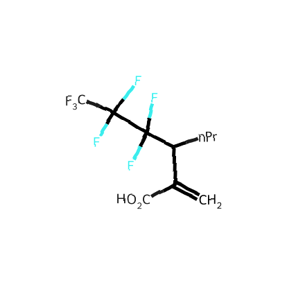 C=C(C(=O)O)C(CCC)C(F)(F)C(F)(F)C(F)(F)F